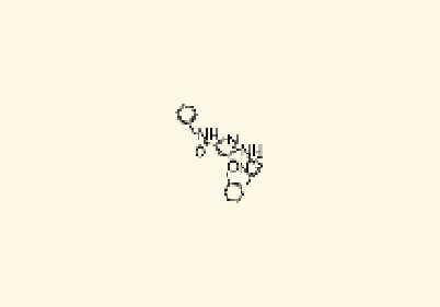 Cc1csc(Nc2ncc(C(=O)NCc3ccccc3)cc2OCc2ccccc2)n1